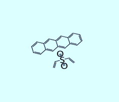 C=CS(=O)(=O)C=C.c1ccc2cc3cc4ccccc4cc3cc2c1